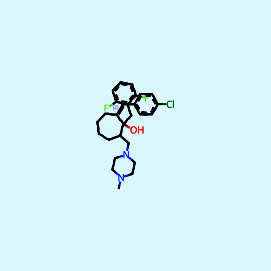 CN1CCN(CC2CCCC/C(=C/c3ccc(Cl)cc3)C2(O)Cc2c(F)cccc2F)CC1